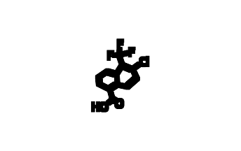 O=C(O)c1cccc2c(C(F)(F)F)c(Cl)ccc12